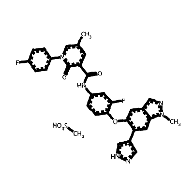 CS(=O)(=O)O.Cc1cc(C(=O)Nc2ccc(Oc3cc4cnn(C)c4cc3-c3cn[nH]c3)c(F)c2)c(=O)n(-c2ccc(F)cc2)c1